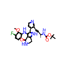 COc1c(F)cccc1Nc1c(-c2ccncc2C#C[C@H](C)NC(=O)OC(C)(C)C)[nH]c2c1C(=O)NCC2